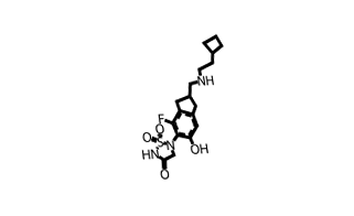 O=C1CN(c2c(O)cc3c(c2F)CC(CNCCC2CCC2)C3)S(=O)(=O)N1